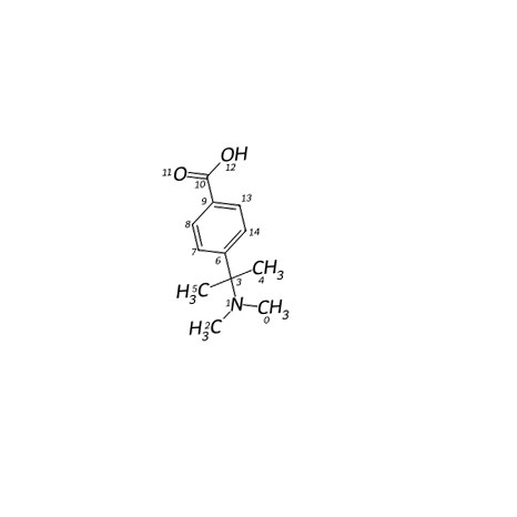 CN(C)C(C)(C)c1ccc(C(=O)O)cc1